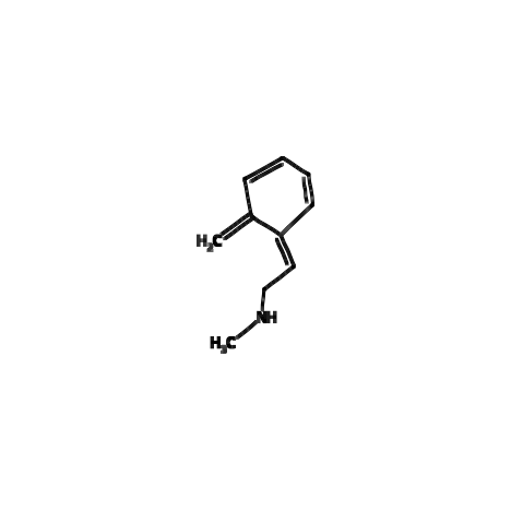 C=c1cccc/c1=C/CNC